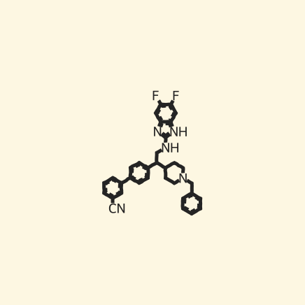 N#Cc1cccc(-c2ccc(C(CNc3nc4cc(F)c(F)cc4[nH]3)C3CCN(Cc4ccccc4)CC3)cc2)c1